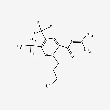 CCCCc1cc(C(C)(C)C)c(C(F)(F)F)cc1C(=O)N=C(N)N